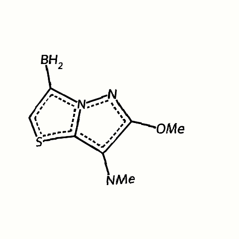 Bc1csc2c(NC)c(OC)nn12